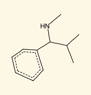 CNC(c1ccccc1)C(C)C